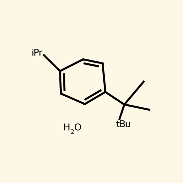 CC(C)c1ccc(C(C)(C)C(C)(C)C)cc1.O